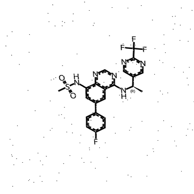 C[C@@H](Nc1ncnc2c(NS(C)(=O)=O)cc(-c3ccc(F)cc3)cc12)c1cnc(C(F)(F)F)nc1